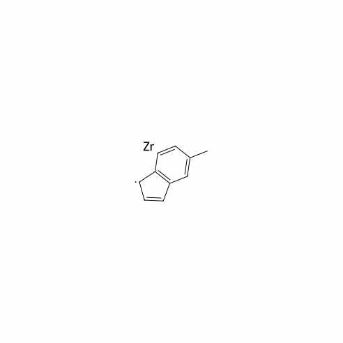 Cc1ccc2c(c1)C=C[CH]2.[Zr]